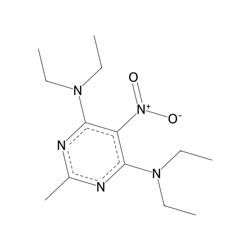 CCN(CC)c1nc(C)nc(N(CC)CC)c1[N+](=O)[O-]